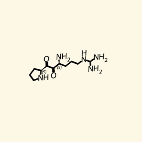 NC(N)NCCC[C@H](N)C(=O)C(=O)[C@@H]1CCCN1